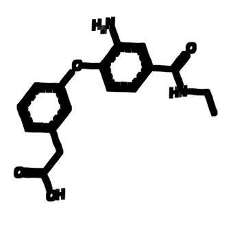 CCNC(=O)c1ccc(Oc2cccc(CC(=O)O)c2)c(N)c1